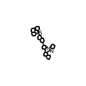 S=P(c1ccccc1)(c1ccc2cc(-c3ccc4c5ccc6ccccc6c5c5nc6ccccc6n5c4c3)ccc2c1)c1cccc2ccccc12